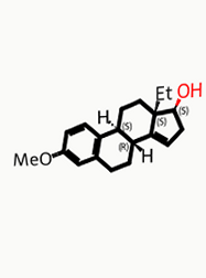 CC[C@]12CC[C@@H]3c4ccc(OC)cc4CC[C@H]3C1=CC[C@@H]2O